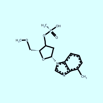 COC[C@H]1O[C@@H](n2cnc3c(C)cccc32)CC1O[P@](C)(=O)O